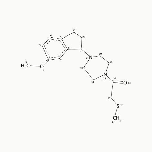 COc1ccc2c(c1)C(N1CCN(C(=O)CSC)CC1)CC2